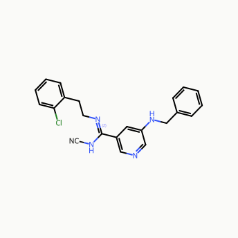 N#CN/C(=N\CCc1ccccc1Cl)c1cncc(NCc2ccccc2)c1